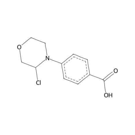 O=C(O)c1ccc(N2CCOCC2Cl)cc1